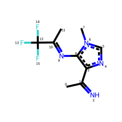 CC(=N)c1ncn(C)c1/N=C(\C)C(F)(F)F